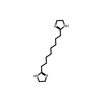 C(CCCCC1=NCCN1)CCCC1=NCCN1